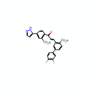 O=C(O)c1ccc(-c2ccc(F)c(F)c2)cc1/C=C/C(=O)c1ccc(-c2ccn[nH]2)cc1C(=O)O